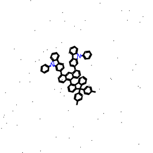 Cc1ccc(C2(c3ccc(C)cc3)c3ccccc3-c3c(-c4c5cccc(-c6ccc7c8ccccc8n(-c8ccccc8)c7c6)c5cc5c(-c6ccc7c8ccccc8n(-c8ccccc8)c7c6)cccc45)cccc32)cc1